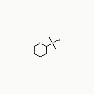 C[Si](C)(Cl)C1CCCCO1